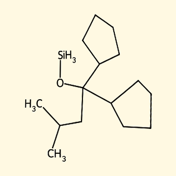 CC(C)CC(O[SiH3])(C1CCCC1)C1CCCC1